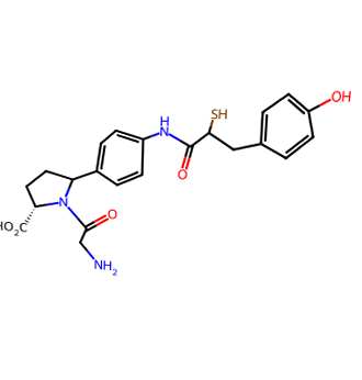 NCC(=O)N1C(c2ccc(NC(=O)C(S)Cc3ccc(O)cc3)cc2)CC[C@H]1C(=O)O